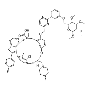 CO[C@H]1O[C@H](COc2cccc(-c3nccc(COc4ccc5cc4C[C@@H](C(=O)O)Oc4ncnc6sc(-c7ccc(F)cc7)c(c46)-c4ccc(c(Cl)c4C)O[C@H](CN4CCN(C)CC4)CO5)n3)c2)[C@@H](OC)[C@H](OC)[C@@H]1OC